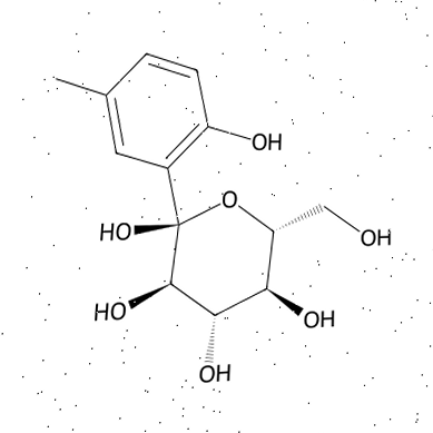 Cc1ccc(O)c([C@]2(O)O[C@H](CO)[C@@H](O)[C@H](O)[C@H]2O)c1